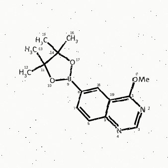 COc1ncnc2ccc(B3OC(C)(C)C(C)(C)O3)cc12